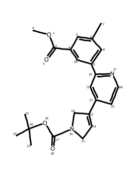 COC(=O)c1cc(C)cc(-c2cc(C3=CCN(C(=O)OC(C)(C)C)C3)ccn2)c1